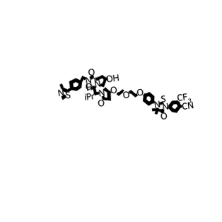 Cc1ncsc1-c1ccc(CNC(=O)[C@@H]2C[C@@H](O)CN2C(=O)C(C(C)C)N2CC(OCCOCCOc3ccc(N4C(=S)N(c5ccc(C#N)c(C(F)(F)F)c5)C(=O)C4(C)C)cc3)=CC2=O)cc1